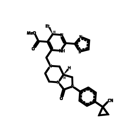 CC[C@@H]1N=C(c2nccs2)NC(CN2CCN3C(=O)N(c4ccc(C5(C#N)CC5)cc4)C[C@@H]3C2)=C1C(=O)OC